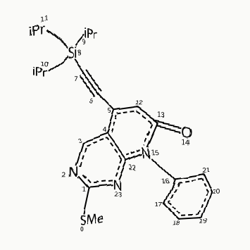 CSc1ncc2c(C#C[Si](C(C)C)(C(C)C)C(C)C)cc(=O)n(-c3ccccc3)c2n1